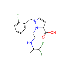 CC(NCCN1C(C(=O)O)C=CN1Cc1ccccc1F)C(F)F